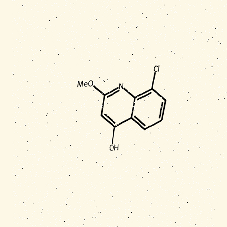 COc1cc(O)c2cccc(Cl)c2n1